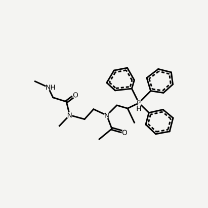 CNCC(=O)N(C)CCN(CC(C)[PH](c1ccccc1)(c1ccccc1)c1ccccc1)C(C)=O